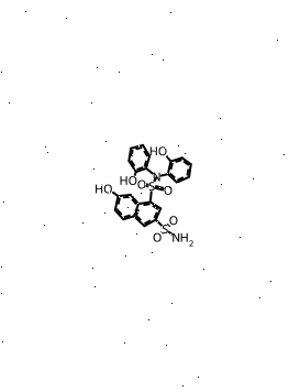 NS(=O)(=O)c1cc(S(=O)(=O)N(c2ccccc2O)c2ccccc2O)c2cc(O)ccc2c1